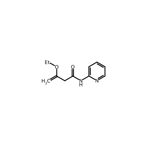 C=C(CC(=O)Nc1ccccn1)OCC